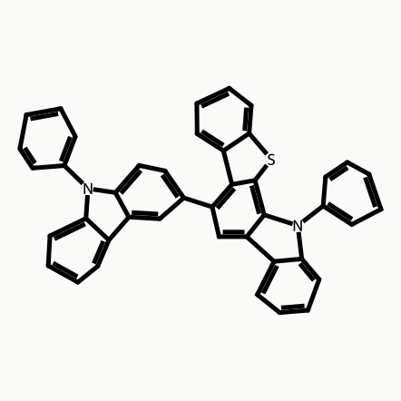 c1ccc(-n2c3ccccc3c3cc(-c4cc5c6ccccc6n(-c6ccccc6)c5c5sc6ccccc6c45)ccc32)cc1